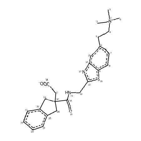 C[N+](C)(C)CCc1ccc2sc(CNC(=O)C3(CC(=O)[O-])Cc4ccccc4C3)nc2c1